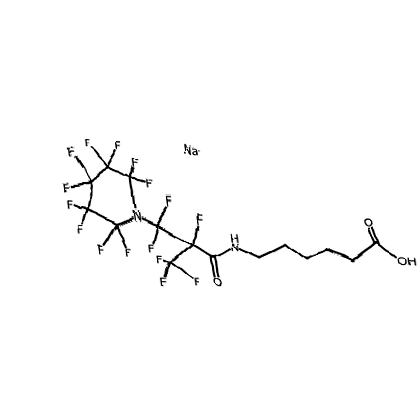 O=C(O)CCCCCNC(=O)C(F)(C(F)(F)F)C(F)(F)N1C(F)(F)C(F)(F)C(F)(F)C(F)(F)C1(F)F.[Na]